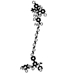 CCN(c1cc(-c2ccc(OCCOCCOCCOCCOCCOCCNC(=O)c3ccc(NC(=O)C4NC(CC(C)(C)C)C(C#N)(c5ccc(Cl)cc5F)C4c4cccc(Cl)c4F)c(OC)c3)cc2)cc(C(=O)NCc2c(C)cc(C)[nH]c2=O)c1C)C1CCOCC1